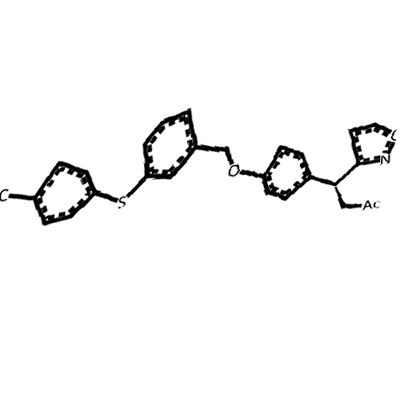 CC(=O)C[C@@H](c1ccc(OCc2cccc(Sc3ccc(C(F)(F)F)cc3)c2)cc1)c1ccon1